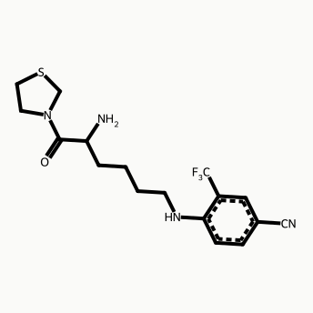 N#Cc1ccc(NCCCCC(N)C(=O)N2CCSC2)c(C(F)(F)F)c1